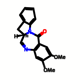 COc1cc2c(cc1OC)C(=O)N1c3ccccc3C[C@H]1C=N2